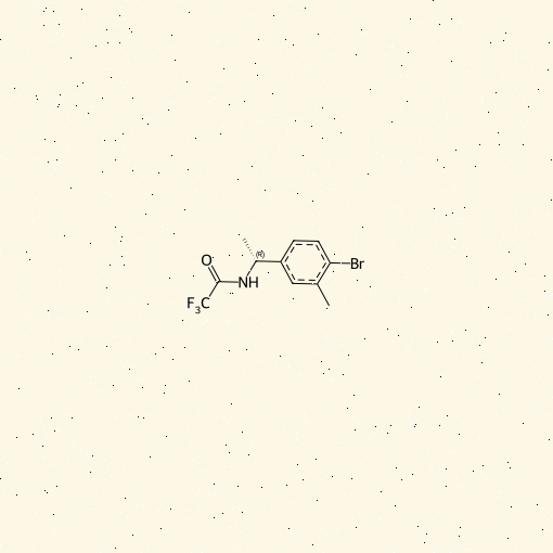 Cc1cc([C@@H](C)NC(=O)C(F)(F)F)ccc1Br